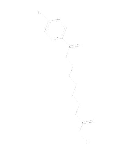 COC(=O)CCCCCCCC(=O)c1ccc(Br)cc1